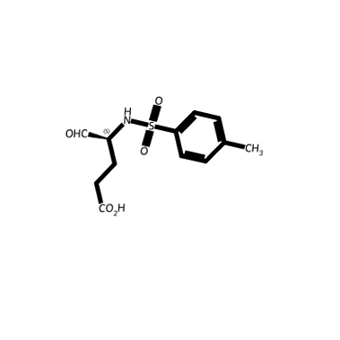 Cc1ccc(S(=O)(=O)N[C@H](C=O)CCC(=O)O)cc1